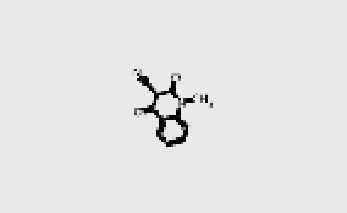 CN1C(=O)C(C#N)C(=O)c2ccccc21